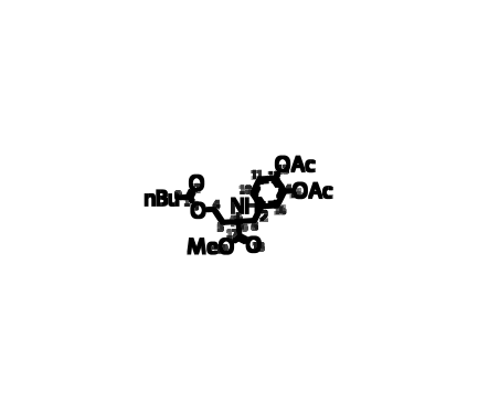 CCCCC(=O)OCC[C@@](N)(Cc1ccc(OC(C)=O)c(OC(C)=O)c1)C(=O)OC